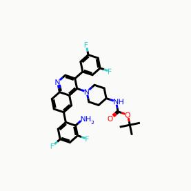 CC(C)(C)OC(=O)NC1CCN(c2c(-c3cc(F)cc(F)c3)cnc3ccc(-c4cc(F)cc(F)c4N)cc23)CC1